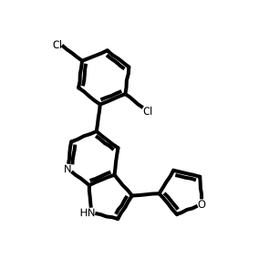 Clc1ccc(Cl)c(-c2cnc3[nH]cc(-c4ccoc4)c3c2)c1